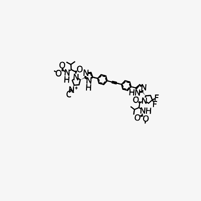 [C-]#[N+][C@H]1C[C@@H](c2ncc(-c3ccc(C#Cc4ccc(-c5cnc([C@@H]6CC(F)(F)CN6C(=O)[C@@H](NC(=O)OC)C(C)C)[nH]5)cc4)cc3)[nH]2)N(C(=O)[C@@H](NC(=O)OC)C(C)C)C1